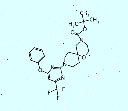 CC(C)(C)OC(=O)N1CCOC2(CCN(c3nc(Oc4ccccc4)cc(C(F)(F)F)n3)CC2)C1